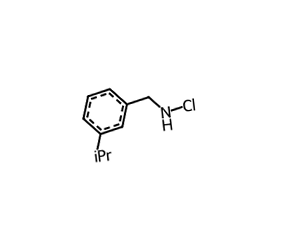 CC(C)c1cccc(CNCl)c1